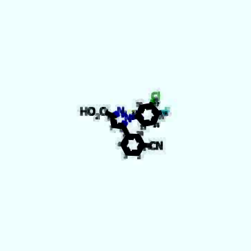 N#Cc1cccc(-c2cc(C(=O)O)nn2-c2ccc(F)c(Cl)c2)c1